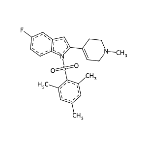 Cc1cc(C)c(S(=O)(=O)n2c(C3=CCN(C)CC3)cc3cc(F)ccc32)c(C)c1